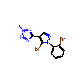 Cn1nnc(-c2cnn(-c3ccccc3Br)c2Br)n1